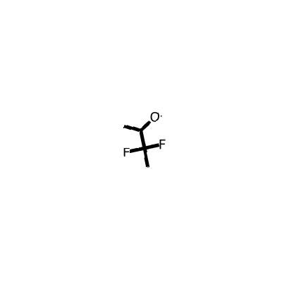 CC([O])C(C)(F)F